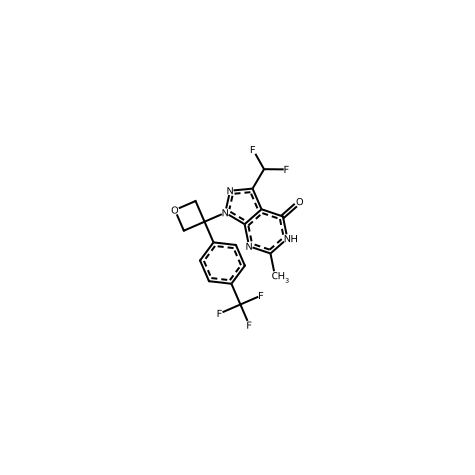 Cc1nc2c(c(C(F)F)nn2C2(c3ccc(C(F)(F)F)cc3)COC2)c(=O)[nH]1